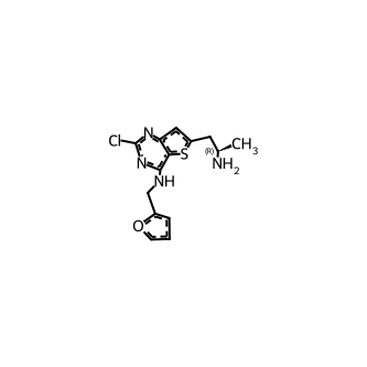 C[C@@H](N)Cc1cc2nc(Cl)nc(NCc3ccco3)c2s1